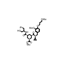 COCCCOc1ccc(CN(C(=O)[C@@H]2C[C@H](C(=O)NC(CO)CC(C)C)CN(C(=O)OC(C)(C)C)C2)C2CC2)cc1OC